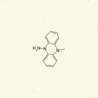 CN1c2ccccc2N(N)c2ccccc21